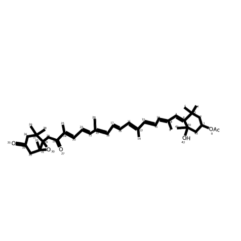 CC(=O)OC1CC(C)(C)/C(=C/C(C)=C/C=C/C(C)=C/C=C/C=C(C)/C=C/C=C(\C)C(=O)CC23OC2(C)CC(=O)CC3(C)C)C(C)(O)C1